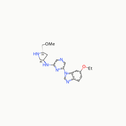 CCOc1ccc2ncn(-c3cncc(N[C@H]4CN[C@H](COC)C4)n3)c2c1